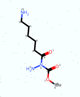 CC(C)(C)OC(=O)N(N)C(=O)CCCCCN